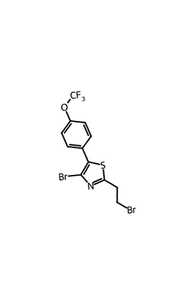 FC(F)(F)Oc1ccc(-c2sc(CCBr)nc2Br)cc1